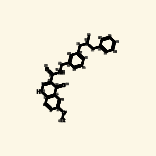 CCOc1ccc2[nH]cc(C(=O)NCc3cccc(CN(C)Cc4ccccc4)c3)c(=O)c2c1